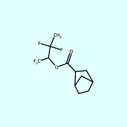 CC(F)(F)C(OC(=O)C1CC2CCC1C2)C(F)(F)F